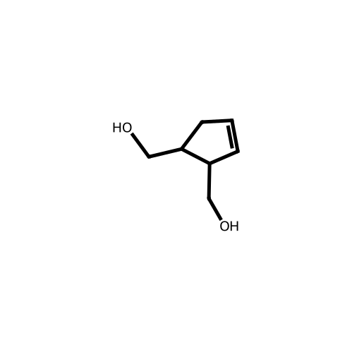 OCC1C=CCC1CO